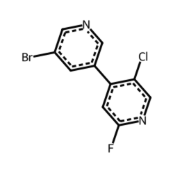 Fc1cc(-c2cncc(Br)c2)c(Cl)cn1